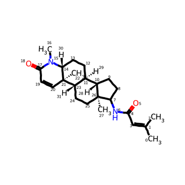 CC(C)=CC(=O)NC1CC[C@H]2[C@@H]3CC[C@H]4N(C)C(=O)C=C[C@]4(C)[C@H]3CC[C@]12C